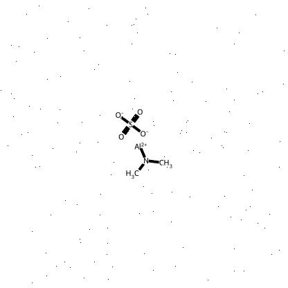 C[N](C)[Al+2].O=S(=O)([O-])[O-]